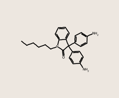 CCCCCCN1C(=O)C(c2ccc(N)cc2)(c2ccc(N)cc2)c2ccccc21